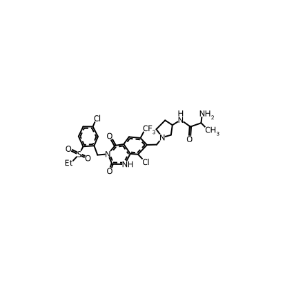 CCS(=O)(=O)c1ccc(Cl)cc1Cn1c(=O)[nH]c2c(Cl)c(CN3CCC(NC(=O)C(C)N)C3)c(C(F)(F)F)cc2c1=O